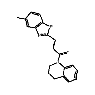 Cc1ccc2[nH]c(SCC(=O)N3CCCc4ccccc43)nc2c1